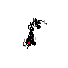 CCN(CC)[C@H](C(=O)N1[C@@H]2C[C@@H]2C[C@H]1c1nc2c(ccc3cc(-c4ccc(-c5cnc([C@@H]6C[C@H]7C[C@H]7N6C(=O)[C@@H](c6ccccc6)N(CC)CC)[nH]5)c(F)c4)ccc32)[nH]1)c1ccccc1